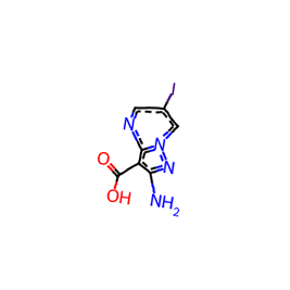 Nc1nn2cc(I)cnc2c1C(=O)O